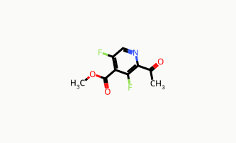 COC(=O)c1c(F)cnc(C(C)=O)c1F